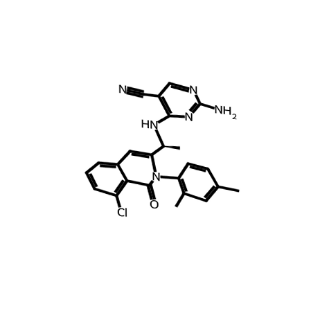 Cc1ccc(-n2c([C@H](C)Nc3nc(N)ncc3C#N)cc3cccc(Cl)c3c2=O)c(C)c1